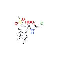 CC1Cc2c(cc(S(C)(=O)=O)c(O)c2NC(=O)CCl)C1(C)C